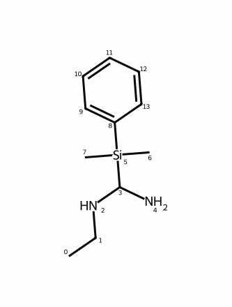 CCNC(N)[Si](C)(C)c1ccccc1